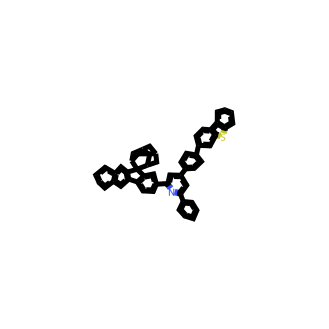 c1ccc(-c2cc(-c3ccc(-c4ccc5c(c4)sc4ccccc45)cc3)cc(-c3ccc4c(c3)C3(c5cc6ccccc6cc5-4)C4CC5CC(C4)CC3C5)n2)cc1